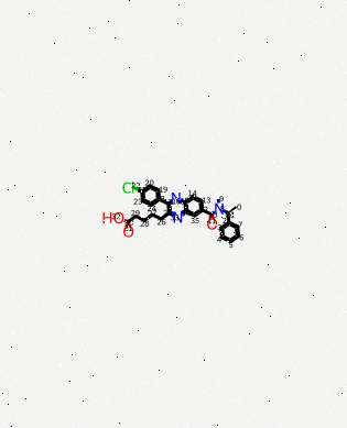 C[C@@H](c1ccccc1)N(C)C(=O)c1ccc2nc(-c3ccc(Cl)cc3)c(CCCCC(=O)O)nc2c1